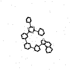 c1ccc(-c2nc(-c3ccccc3)nc(-c3cccc(-c4cccc(-c5cccc(-c6coc7ccc8ccccc8c67)c5)c4)c3)n2)cc1